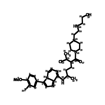 COc1ccc(-c2cnc3c(NC(C)CCC(C(=O)N4CCN(CCNCCO)CC4)C(C)Cl)nccn23)cc1F